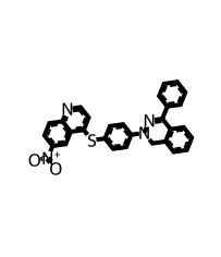 O=[N+]([O-])c1ccc2nccc(Sc3ccc(N4Cc5ccccc5C(c5ccccc5)=N4)cc3)c2c1